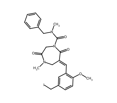 COc1ccc(CI)cc1/C=C1\CN(C)C(=O)CN(C(=O)N(C)Cc2ccccc2)C1=O